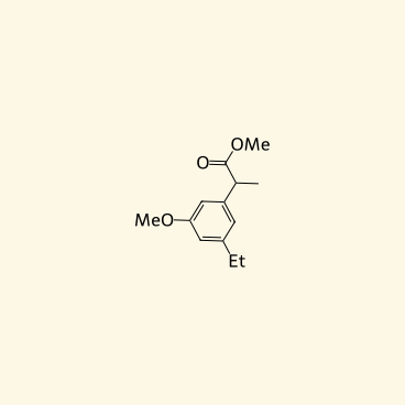 CCc1cc(OC)cc(C(C)C(=O)OC)c1